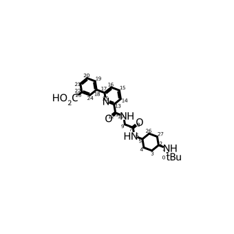 CC(C)(C)NC1CCC(NC(=O)CNC(=O)c2cccc(-c3cccc(C(=O)O)c3)n2)CC1